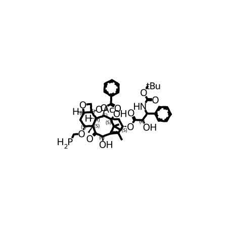 CC(=O)O[C@@]12CO[C@@H]1C[C@H](OCP)[C@@]1(C)C(=O)[C@H](O)C3=C(C)[C@@H](OC(=O)[C@H](O)C(NC(=O)OC(C)(C)C)c4ccccc4)C[C@@](O)([C@@H](OC(=O)c4ccccc4)[C@H]21)C3(C)C